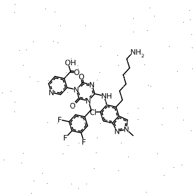 Cn1cc2c(CCCCCCN)c(Nc3nc(=O)n(-c4cnccc4C(=O)O)c(=O)n3Cc3cc(F)c(F)c(F)c3)c(Cl)cc2n1